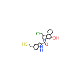 O=C(c1cc2cc(CCS)ccc2[nH]1)N1C[C@@H](CCl)c2c1cc(O)c1ccccc21